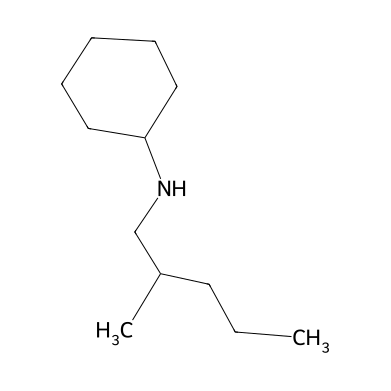 CCCC(C)CNC1CCCCC1